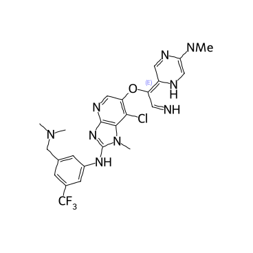 CNC1=CN/C(=C(\C=N)Oc2cnc3nc(Nc4cc(CN(C)C)cc(C(F)(F)F)c4)n(C)c3c2Cl)C=N1